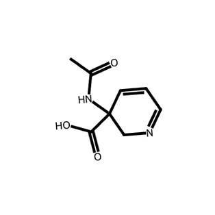 CC(=O)NC1(C(=O)O)C=CC=NC1